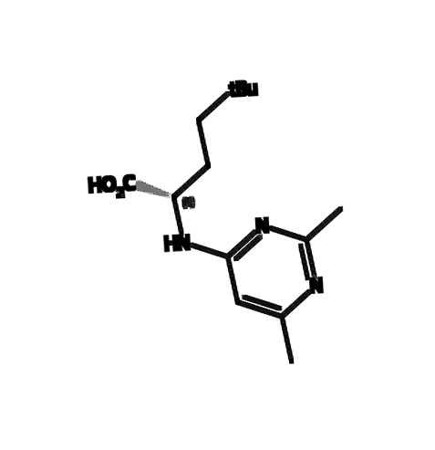 Cc1cc(N[C@@H](CCC(C)(C)C)C(=O)O)nc(C)n1